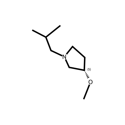 CO[C@H]1CCN(CC(C)C)C1